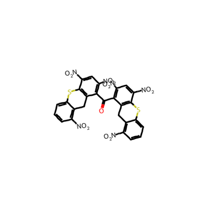 O=C(c1c([N+](=O)[O-])cc([N+](=O)[O-])c2c1Cc1c(cccc1[N+](=O)[O-])S2)c1c([N+](=O)[O-])cc([N+](=O)[O-])c2c1Cc1c(cccc1[N+](=O)[O-])S2